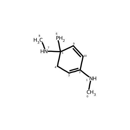 CNC1=CCC(P)(NC)C=C1